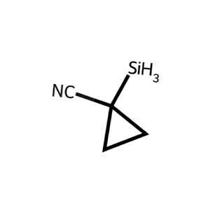 N#CC1([SiH3])CC1